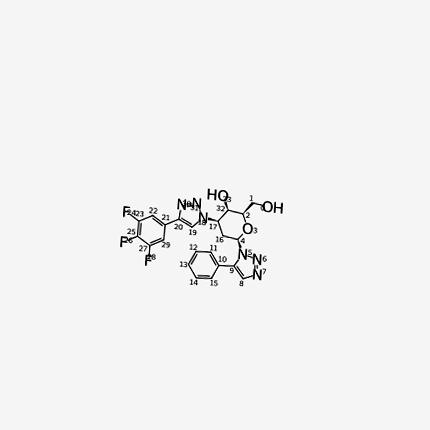 OC[C@H]1O[C@@H](n2nncc2-c2ccccc2)C[C@@H](n2cc(-c3cc(F)c(F)c(F)c3)nn2)[C@H]1O